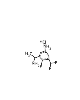 CC(N)c1cc(N)cc(C(F)F)c1F.Cl